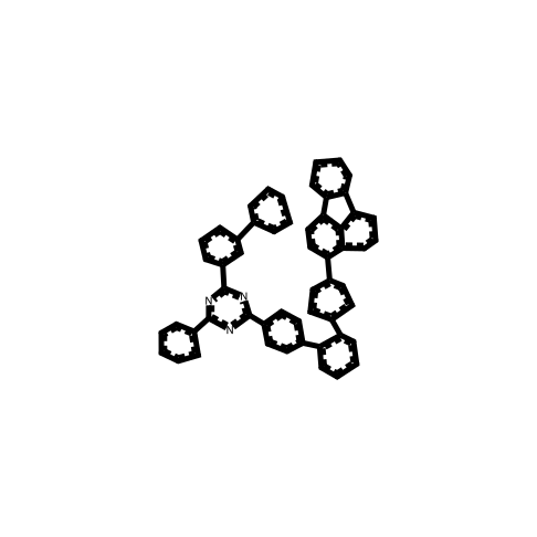 c1ccc(-c2cccc(-c3nc(-c4ccccc4)nc(-c4ccc(-c5ccccc5-c5ccc(-c6ccc7c8c(cccc68)-c6ccccc6-7)cc5)cc4)n3)c2)cc1